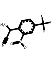 CC(C#N)c1ccc(C(F)(F)F)cc1[N+](=O)[O-]